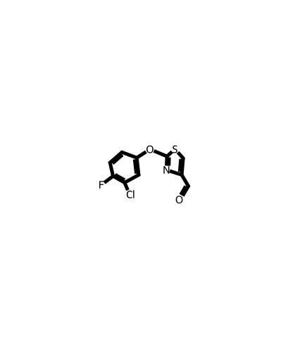 O=Cc1csc(Oc2ccc(F)c(Cl)c2)n1